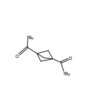 CC(C)(C)C(=O)C12CC(C(=O)C(C)(C)C)(C1)C2